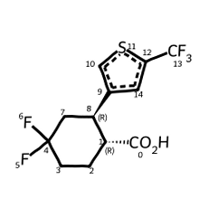 O=C(O)[C@@H]1CCC(F)(F)C[C@H]1c1csc(C(F)(F)F)c1